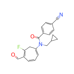 N#Cc1ccc(C(=O)N(CC2CC2)C2=CC=CC(C=O)=C(F)C2)cc1